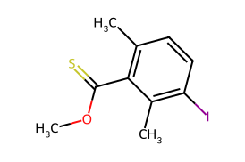 COC(=S)c1c(C)ccc(I)c1C